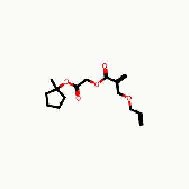 C=CCOCC(=C)C(=O)OCC(=O)OC1(C)CCCC1